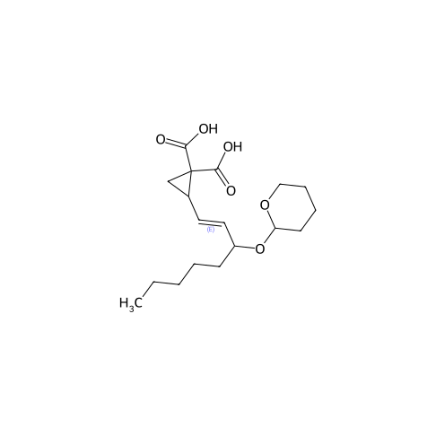 CCCCCC(/C=C/C1CC1(C(=O)O)C(=O)O)OC1CCCCO1